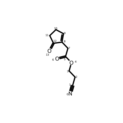 N#CCCOC(=O)CC1=CCCC1=O